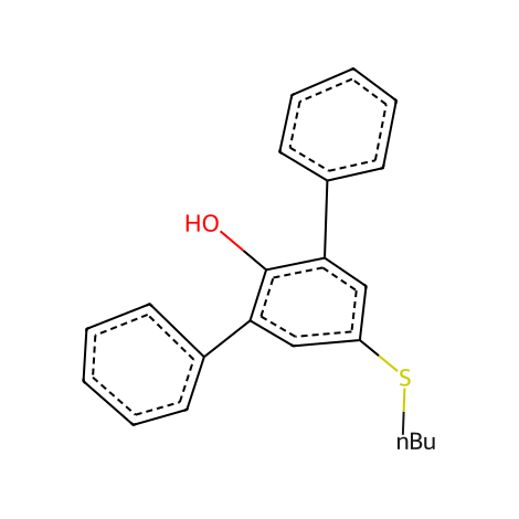 CCCCSc1cc(-c2ccccc2)c(O)c(-c2ccccc2)c1